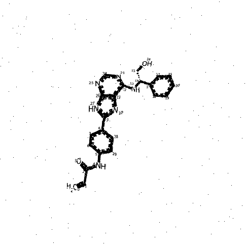 C=CC(=O)Nc1ccc(-c2nc3c(N[C@H](CO)c4ccccc4)ncnc3[nH]2)cc1